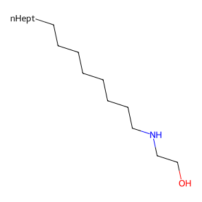 CCCCCCCCCCCCCCCNCCO